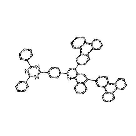 c1ccc(-c2nc(-c3ccccc3)nc(-c3ccc(-c4cc(-c5ccc6c7ccccc7c7ccccc7c6c5)c5cc(-c6ccc7c8ccccc8c8ccccc8c7c6)c6ccccc6c5n4)cc3)n2)cc1